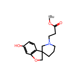 CC(C)(C)OC(=O)CCN1CCCC2(COc3cc(O)ccc32)C1